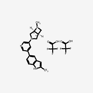 CN1C[C@H]2CN(c3cncc(-c4ccc5[nH]c(C(F)(F)F)cc5c4)c3)C[C@H]21.O=C(O)C(F)(F)F.O=C(O)C(F)(F)F